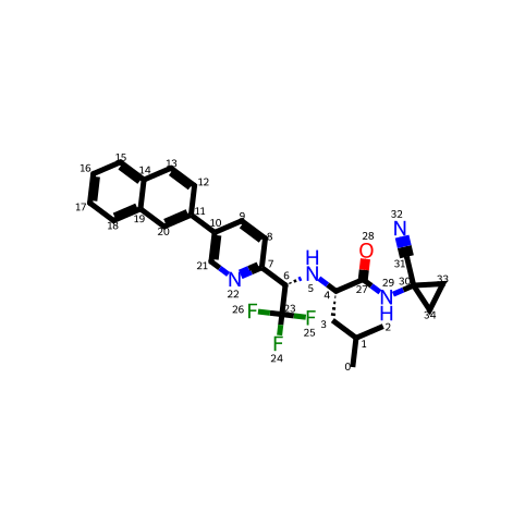 CC(C)C[C@H](N[C@@H](c1ccc(-c2ccc3ccccc3c2)cn1)C(F)(F)F)C(=O)NC1(C#N)CC1